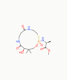 COC(=O)[C@H](C)NP1(=O)OCC(C)(C)[C@@H](O)C(=O)NCCC(=O)NCCS1